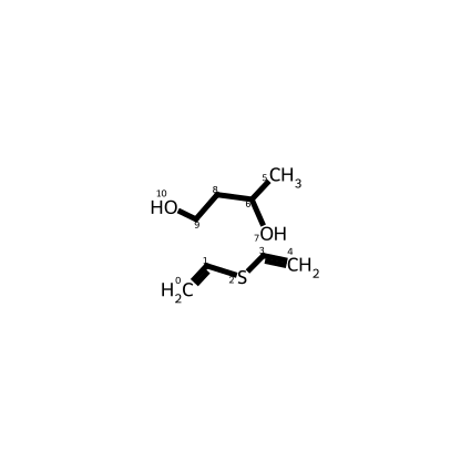 C=CSC=C.CC(O)CCO